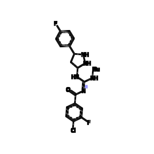 CCC(C)N/C(=N/C(=O)c1ccc(Cl)c(F)c1)NC1CC(c2ccc(F)cc2)NN1